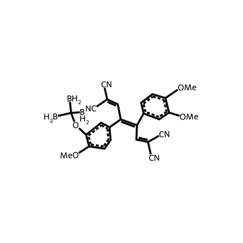 BC(B)(B)Oc1cc(/C(C=C(C#N)C#N)=C(\C=C(C#N)C#N)c2ccc(OC)c(OC)c2)ccc1OC